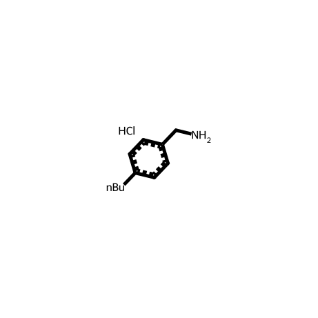 CCCCc1ccc(CN)cc1.Cl